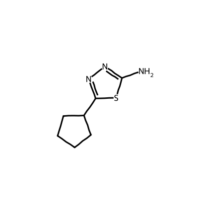 Nc1nnc(C2CCCC2)s1